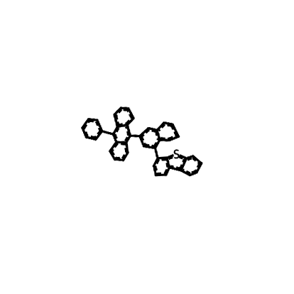 c1ccc(-c2c3ccccc3c(-c3cc(-c4cccc5c4sc4ccccc45)c4ccccc4c3)c3ccccc23)cc1